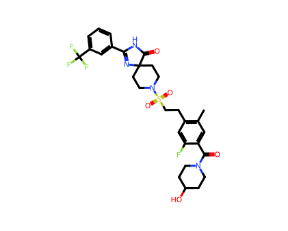 Cc1cc(C(=O)N2CCC(O)CC2)c(F)cc1CCS(=O)(=O)N1CCC2(CC1)N=C(c1cccc(C(F)(F)F)c1)NC2=O